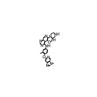 Cc1cc(Nc2ncnc3cnc4c(c23)OC[C@H]2CNCCN42)ccc1Oc1cc2ncn(C)c2cn1